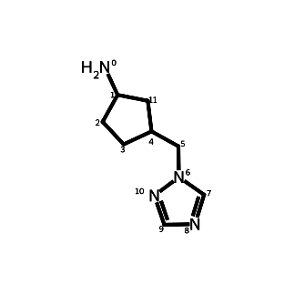 NC1CCC(Cn2cncn2)C1